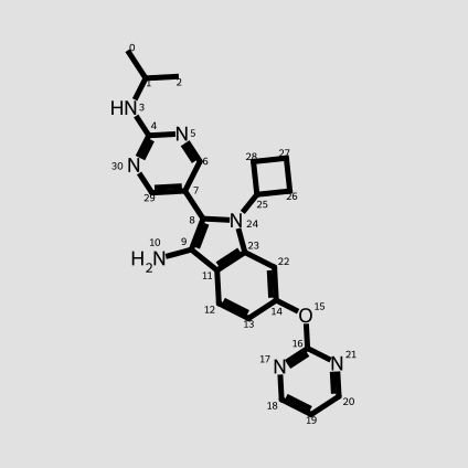 CC(C)Nc1ncc(-c2c(N)c3ccc(Oc4ncccn4)cc3n2C2CCC2)cn1